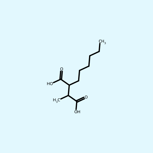 CCCCCCC(C(=O)O)C(C)C(=O)O